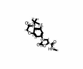 CNC(=O)[C@H]1CN(c2cc(F)c3c(c2)OCC(=O)N3C(C)(C)C)C(=O)O1